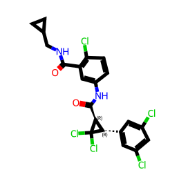 O=C(NCC1CC1)c1cc(NC(=O)[C@H]2[C@H](c3cc(Cl)cc(Cl)c3)C2(Cl)Cl)ccc1Cl